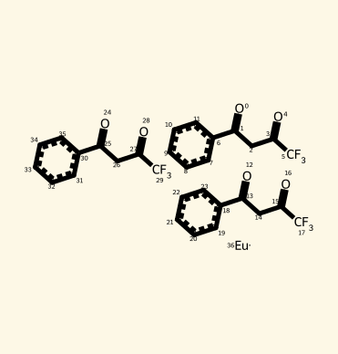 O=C(CC(=O)C(F)(F)F)c1ccccc1.O=C(CC(=O)C(F)(F)F)c1ccccc1.O=C(CC(=O)C(F)(F)F)c1ccccc1.[Eu]